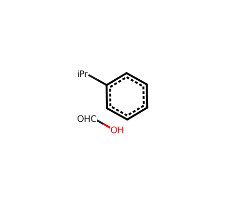 CC(C)c1ccccc1.O=CO